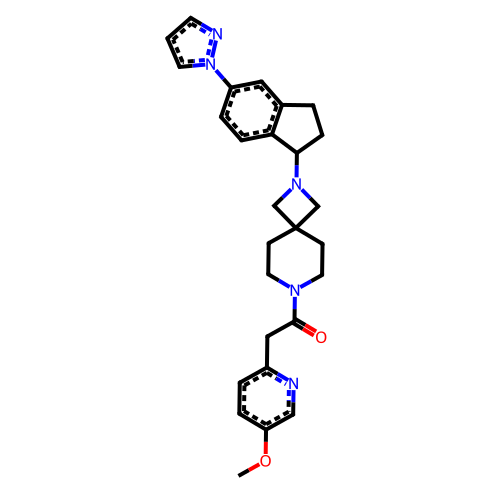 COc1ccc(CC(=O)N2CCC3(CC2)CN(C2CCc4cc(-n5cccn5)ccc42)C3)nc1